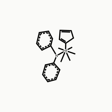 [CH3][Hf]([CH3])([CH3])([CH3])([CH3])([C]1=CC=CC1)[N](c1ccccc1)c1ccccc1